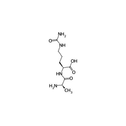 C[C@@H](N)C(=O)N[C@@H](CCCNC(N)=O)C(=O)O